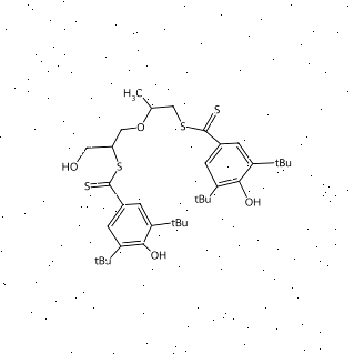 CC(CSC(=S)c1cc(C(C)(C)C)c(O)c(C(C)(C)C)c1)OCC(CO)SC(=S)c1cc(C(C)(C)C)c(O)c(C(C)(C)C)c1